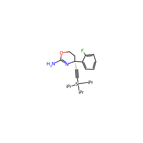 CC(C)[Si](C#C[C@@]1(c2ccccc2F)CCOC(N)=N1)(C(C)C)C(C)C